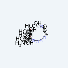 CC[C@H]1/C=C/C=C/C=C/C=C/[C@H](O[C@@H]2O[C@H](C)[C@@H](O)[C@H](N)[C@@H]2O)C[C@@H]2O[C@](O)(CC(O)CC(O)C/C=C/C(=O)O[C@@H]1C)C[C@H](O)[C@H]2C(=O)O